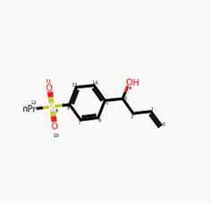 C=CCC(O)c1ccc(S(=O)(=O)CCC)cc1